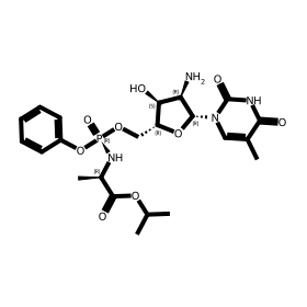 Cc1cn([C@@H]2O[C@H](CO[P@](=O)(N[C@H](C)C(=O)OC(C)C)Oc3ccccc3)[C@@H](O)[C@H]2N)c(=O)[nH]c1=O